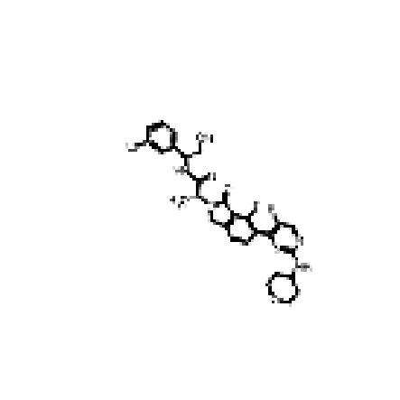 C[C@H](C(=O)N[C@H](CO)c1cccc(Cl)c1)N1Cc2ccc(-c3nc(NC4CCOCC4)ncc3F)c(F)c2C1=O